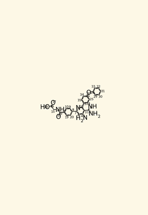 N=C(N)c1c(N)cc(-c2ccc(C(=O)NCC(=O)O)cc2)nc1-c1ccc(Oc2ccccc2)cc1